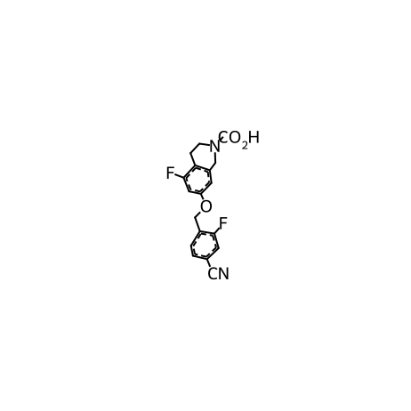 N#Cc1ccc(COc2cc(F)c3c(c2)CN(C(=O)O)CC3)c(F)c1